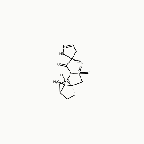 CC1(C)C2CC[C@]13CS(=O)(=O)N(C(=O)[C@@]1(C)CC=NN1)[C@@H]3C2